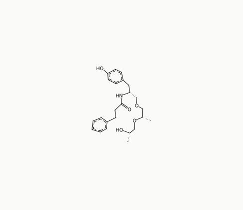 C[C@H](O)CO[C@@H](C)COC[C@@H](Cc1ccc(O)cc1)NC(=O)CCc1ccccc1